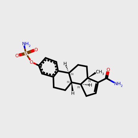 C[C@]12CC[C@@H]3c4ccc(OS(N)(=O)=O)cc4CC[C@H]3[C@@H]1CC=C2C(N)=O